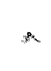 C[C@H](NC(=O)c1ccccc1SC(=O)OCCBr)C(N)=O